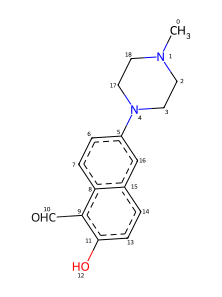 CN1CCN(c2ccc3c(C=O)c(O)ccc3c2)CC1